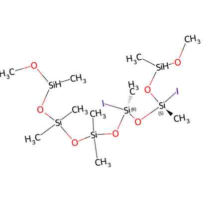 CO[SiH](C)O[Si](C)(C)O[Si](C)(C)O[Si@@](C)(I)O[Si@@](C)(I)O[SiH](C)OC